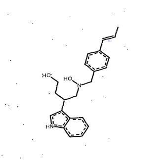 C/C=C/c1ccc(CN(O)CC(CCO)c2c[nH]c3ccccc23)cc1